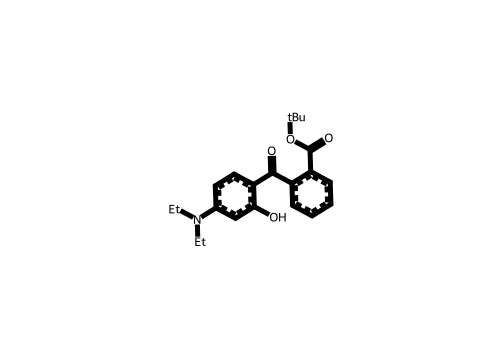 CCN(CC)c1ccc(C(=O)c2ccccc2C(=O)OC(C)(C)C)c(O)c1